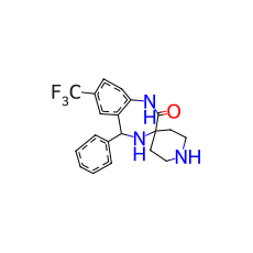 O=C1Nc2ccc(C(F)(F)F)cc2C(c2ccccc2)NC12CCNCC2